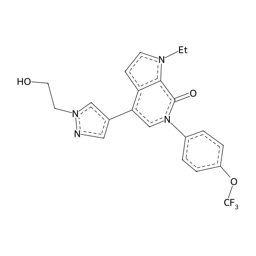 CCn1ccc2c(-c3cnn(CCO)c3)cn(-c3ccc(OC(F)(F)F)cc3)c(=O)c21